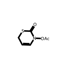 CC(=O)ON1C=CCSC1=O